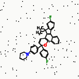 CC1(C)c2cc(F)ccc2-c2c1c1c(c3ccccc23)OC(c2ccc(F)cc2)(c2ccc(N3CCCCC3)cc2)C=C1